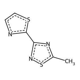 Cc1nc(-c2nccs2)ns1